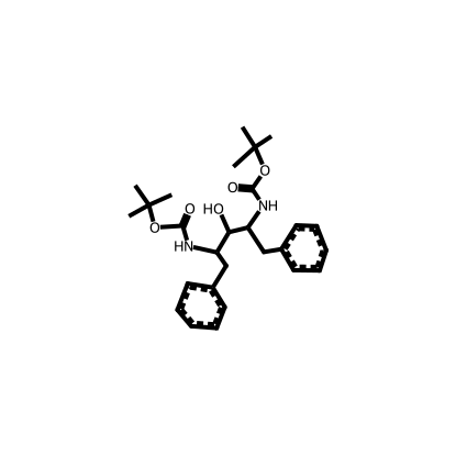 CC(C)(C)OC(=O)NC(Cc1ccccc1)C(O)C(Cc1ccccc1)NC(=O)OC(C)(C)C